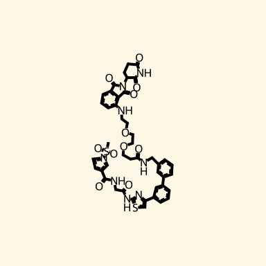 CS(=O)(=O)n1ccc(C(=O)NCC(=O)Nc2nc(-c3cccc(-c4cccc(CNC(=O)CCOCCOCCNc5cccc6c5C(=O)N(C5CCC(=O)NC5=O)C6=O)c4)c3)cs2)c1